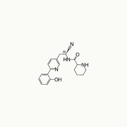 N#C[C@H](Cc1ccc(-c2ccccc2O)nc1)NC(=O)C1CCCCN1